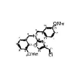 COc1cccc(CN(Cc2cccc(OC)c2)c2nc(CCl)co2)c1